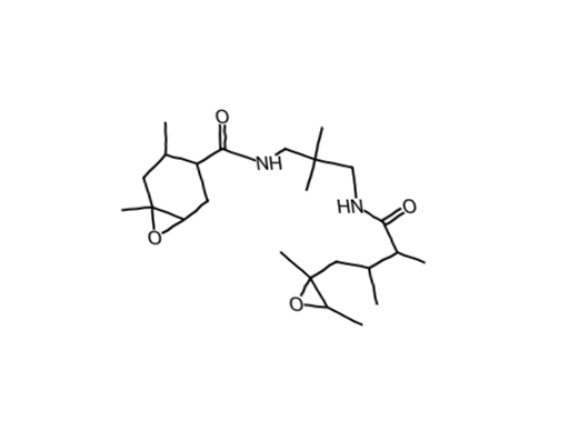 CC(CC1(C)OC1C)C(C)C(=O)NCC(C)(C)CNC(=O)C1CC2OC2(C)CC1C